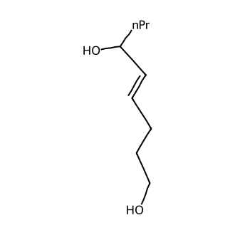 CCCC(O)/C=C/CCCO